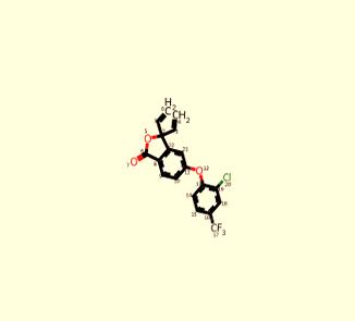 C=CC1(C=C)OC(=O)c2ccc(Oc3ccc(C(F)(F)F)cc3Cl)cc21